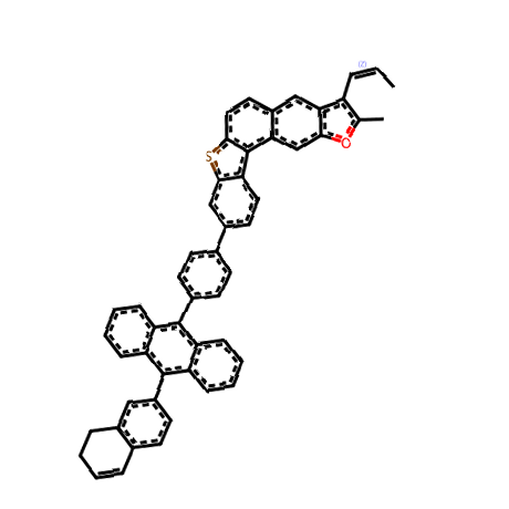 C/C=C\c1c(C)oc2cc3c(ccc4sc5cc(-c6ccc(-c7c8ccccc8c(-c8ccc9c(c8)CCC=C9)c8ccccc78)cc6)ccc5c43)cc12